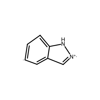 [c]1ccc2c(c1)C=[N+]N2